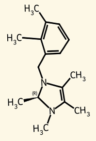 CC1=C(C)N(Cc2cccc(C)c2C)[C@H](C)N1C